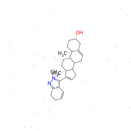 Cn1nc2c(c1C1=CCC3C4CC=C5C[C@@H](O)CC[C@]5(C)C4CC[C@]13C)C=CCC2